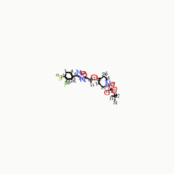 CSc1ccc(-c2noc(C(C)OC3CCN(OC(=O)OC(C)(C)C)CC3)n2)cc1F